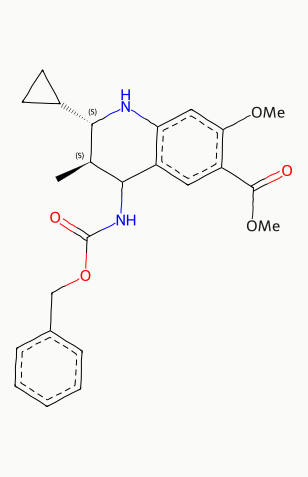 COC(=O)c1cc2c(cc1OC)N[C@@H](C1CC1)[C@H](C)C2NC(=O)OCc1ccccc1